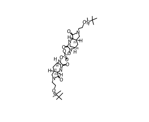 CC(C)(C)[Si](C)(C)OCCN1C[C@@H]2C[C@@H]3CN(C(=O)N3OS(=O)(=O)ON3C(=O)N4C[C@H]3C[C@H]3CN(CCO[Si](C)(C)C(C)(C)C)C(=O)[C@H]34)[C@@H]2C1=O